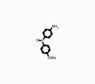 COc1ccc([S+]([O-])c2ccc(N)cc2)cc1